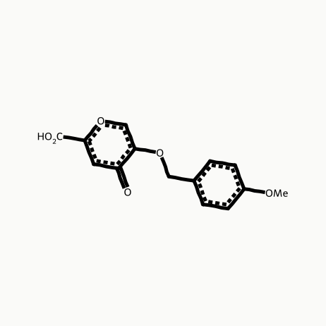 COc1ccc(COc2coc(C(=O)O)cc2=O)cc1